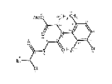 CCC(CC)C(=O)SCC(=O)N(c1c(C)ccc(Br)c1C)[C@@H](C)C(=O)OC